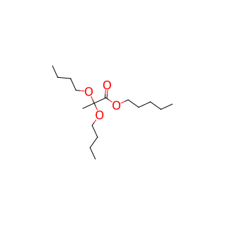 CCCCCOC(=O)C(C)(OCCCC)OCCCC